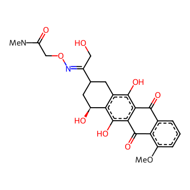 CNC(=O)CO/N=C(\CO)C1Cc2c(O)c3c(c(O)c2[C@@H](O)C1)C(=O)c1c(OC)cccc1C3=O